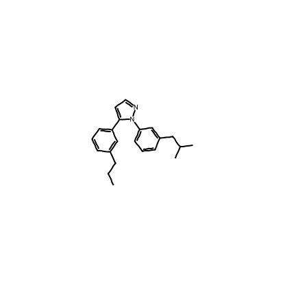 CCCc1cccc(-c2ccnn2-c2cccc(CC(C)C)c2)c1